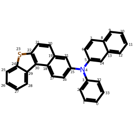 c1ccc(N(c2ccc3ccccc3c2)c2ccc3c(ccc4sc5ccccc5c43)c2)cc1